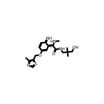 CN/C(C(=O)NCC(C)(C)CO)=C1/C=C(OCc2scnc2C)C=CC1=N